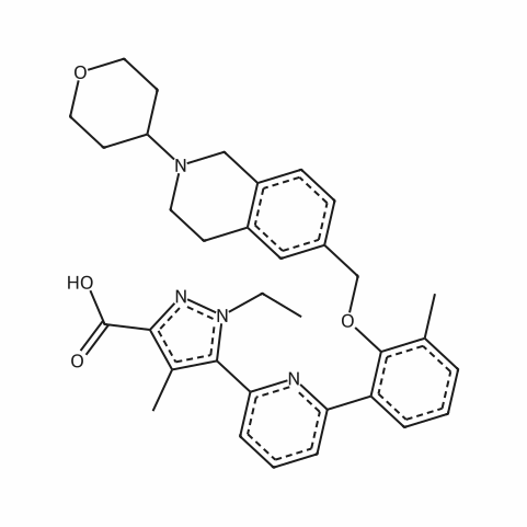 CCn1nc(C(=O)O)c(C)c1-c1cccc(-c2cccc(C)c2OCc2ccc3c(c2)CCN(C2CCOCC2)C3)n1